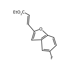 CCOC(=O)C=Cc1cc2cc(F)ccc2o1